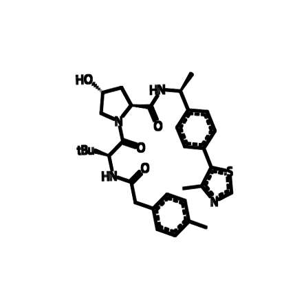 Cc1ccc(CC(=O)N[C@H](C(=O)N2C[C@H](O)C[C@H]2C(=O)N[C@@H](C)c2ccc(-c3scnc3C)cc2)C(C)(C)C)cc1